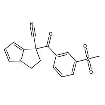 CS(=O)(=O)c1cccc(C(=O)C2(C#N)CCn3cccc32)c1